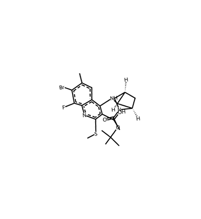 CSc1nc2c(F)c(Br)c(C)cc2c(N[C@H]2[C@@H]3C[C@H]2N(C(=O)OC(C)(C)C)C3)c1C(C)O